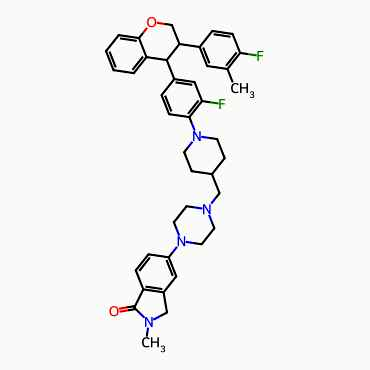 Cc1cc(C2COc3ccccc3C2c2ccc(N3CCC(CN4CCN(c5ccc6c(c5)CN(C)C6=O)CC4)CC3)c(F)c2)ccc1F